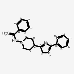 C=C(NN1CCC(C2=NC(c3ccccn3)=NC2)CC1)c1ccccc1